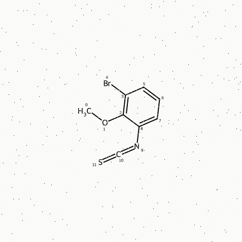 COc1c(Br)cccc1N=C=S